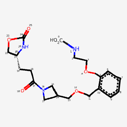 O=C(O)NCCOc1ccccc1COCC1CN(C(=O)CC[C@@H]2COC(=O)N2)C1